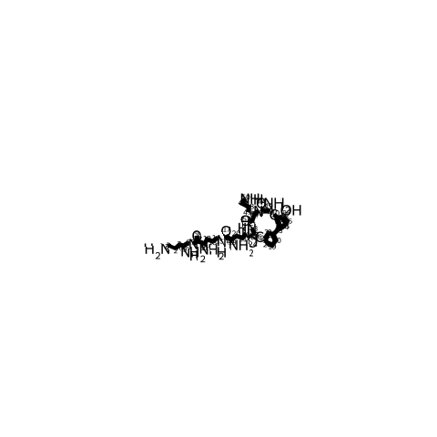 NCCC[C@H](N)CNC(=O)[C@@H](N)CCCNC(=O)[C@@H](N)CCNC(=O)[C@@H]1Cc2cccc(c2)-c2ccc(O)c(c2)C[C@H](N)C(=O)N[C@@H](CCCN)C(=O)N1